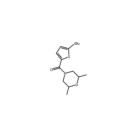 CC1CN(C(=O)c2ccc(C(C)(C)C)s2)CC(C)O1